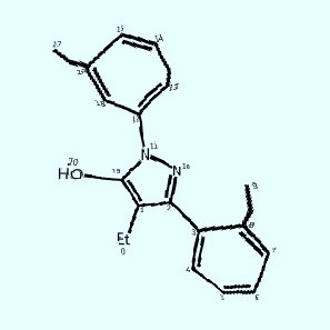 CCc1c(-c2ccccc2C)nn(-c2cccc(C)c2)c1O